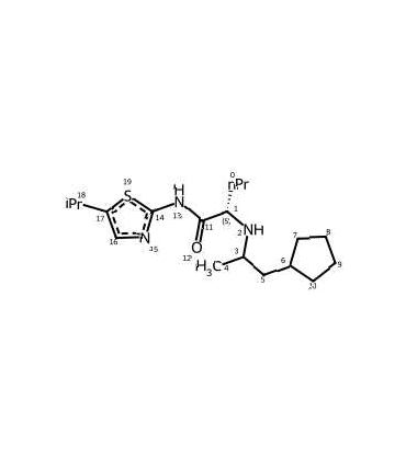 CCC[C@H](NC(C)CC1CCCC1)C(=O)Nc1ncc(C(C)C)s1